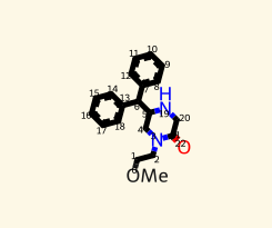 COCCN1CC(C(c2ccccc2)c2ccccc2)NCC1=O